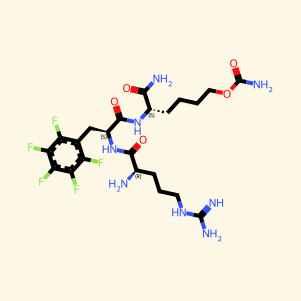 N=C(N)NCCC[C@@H](N)C(=O)N[C@@H](Cc1c(F)c(F)c(F)c(F)c1F)C(=O)N[C@@H](CCCCOC(N)=O)C(N)=O